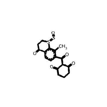 Cc1c(C(=O)C2C(=O)CCCC2=O)ccc2c1S(=S=O)CCC2=O